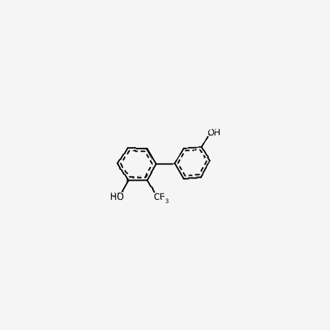 Oc1cccc(-c2cccc(O)c2C(F)(F)F)c1